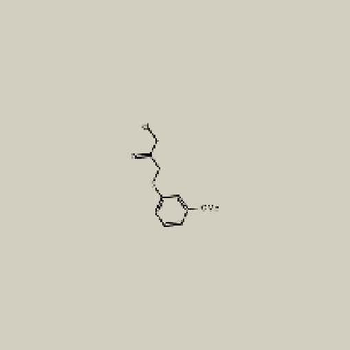 COc1cccc(SCC(=O)CCl)c1